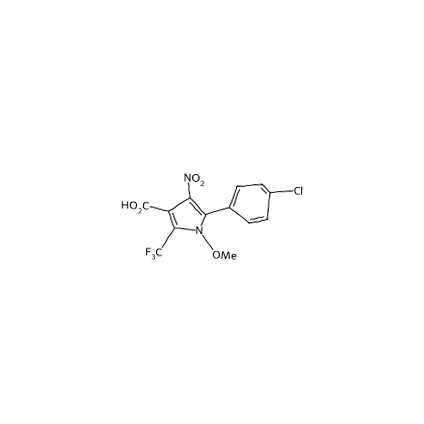 COn1c(-c2ccc(Cl)cc2)c([N+](=O)[O-])c(C(=O)O)c1C(F)(F)F